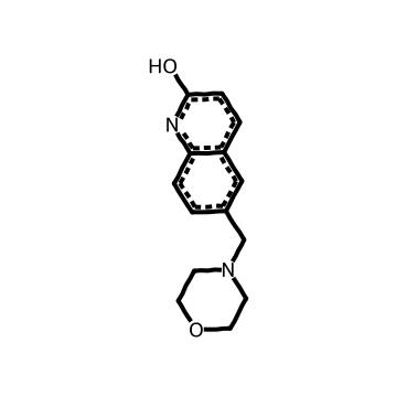 Oc1ccc2cc(CN3CCOCC3)ccc2n1